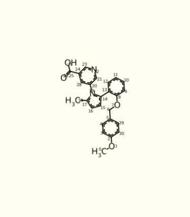 COc1ccc(COc2ccccc2-c2ccc(C)n2-c2cncc(C(=O)O)c2)cc1